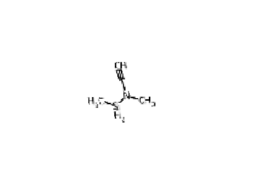 C#CN(C)[SiH2]C